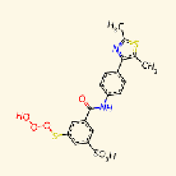 Cc1nc(-c2ccc(NC(=O)c3cc(SOOO)cc(S(=O)(=O)O)c3)cc2)c(C)s1